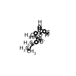 Cc1ccc(NC(=O)c2cc(C(F)(F)F)ccc2C2CNCCO2)cc1NC(=O)c1cc(N(C)CCCN(C)C)ccc1[N+](=O)[O-]